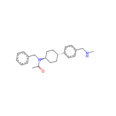 CNCc1ccc([C@H]2CC[C@H](N(Cc3ccccc3)C(C)=O)CC2)cc1